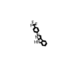 FC(F)(F)c1ccc(-n2cc3c(n2)[nH]c2ccccc23)cc1